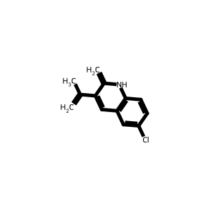 C=C(C)C1=Cc2cc(Cl)ccc2NC1=C